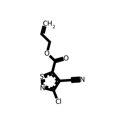 C=CCOC(=O)c1snc(Cl)c1C#N